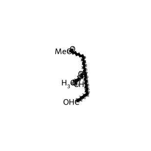 COC(=O)CCCCC/C=C\CCCCCCCCN(CCCCCCCC/C=C\CCCCCC=O)C(=O)CSCCN(C)C